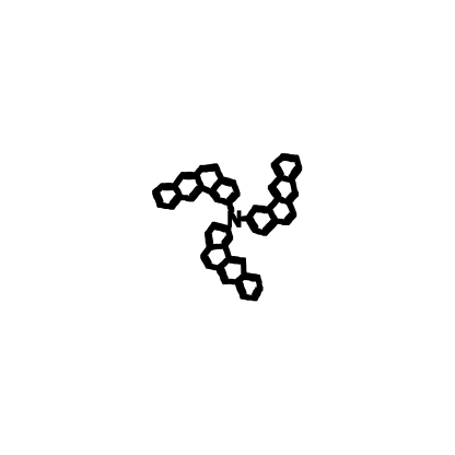 c1ccc2cc3c(ccc4ccc(N(c5ccc6ccc7cc8ccccc8cc7c6c5)c5ccc6ccc7cc8ccccc8cc7c6c5)cc43)cc2c1